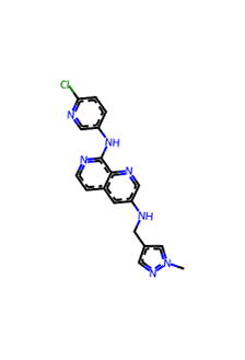 Cn1cc(CNc2cnc3c(Nc4ccc(Cl)nc4)nccc3c2)cn1